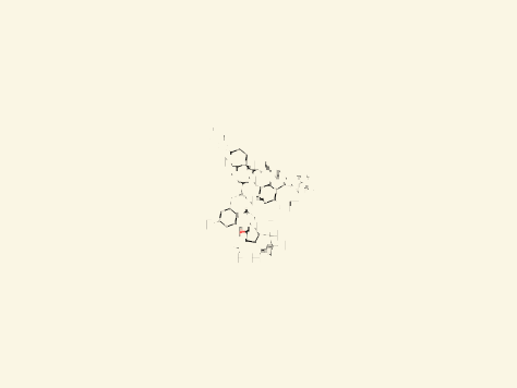 CCOc1ccc2c(=O)n(-c3ccc(Cl)c4c(NS(C)(=O)=O)nn(C)c34)c([C@H](Cc3cc(F)cc(F)c3)NC(=O)Cn3nc(C(F)F)c4c3C(F)(F)[C@@H]3C[C@H]43)nc2n1